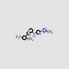 Cc1ncn(-c2ccc(Nc3cccn4cc(-c5cc(C(F)(F)F)ccc5C)nc34)cn2)n1